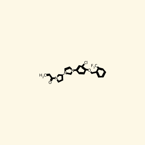 C=CC(=O)N1CC[C@@H](N2C=CN(c3ccc(OCc4ccccc4C(F)(F)F)c(Cl)c3)C2)C1